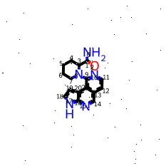 NC(=O)C1[CH]CCCN1c1nccc2cnc3[nH]ccc3c12